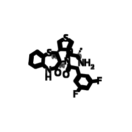 C[C@H](N)C(=O)N(C(=O)Cc1cc(F)cc(F)c1)[C@@H]1C(=O)Nc2ccccc2S[C@@H]1c1ccsc1